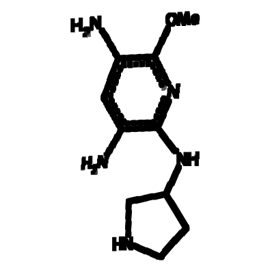 COc1nc(NC2CCNC2)c(N)cc1N